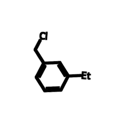 [CH2]Cc1cccc(CCl)c1